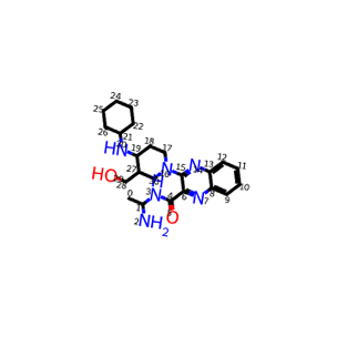 CC(N)NC(=O)c1nc2ccccc2nc1N1CCC(NC2CCCCC2)C(CO)C1